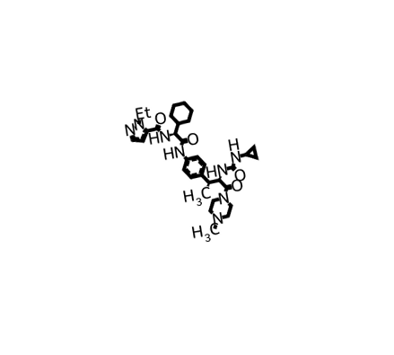 CCn1nccc1C(=O)N[C@H](C(=O)Nc1ccc([C@H](C)[C@@H](NC(=O)NC2CC2)C(=O)N2CCN(C)CC2)cc1)C1CCCCC1